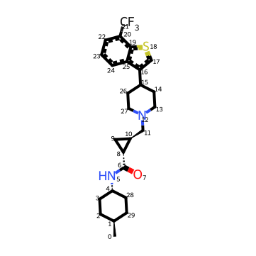 C[C@H]1CC[C@H](NC(=O)[C@@H]2C[C@H]2CN2CCC(c3csc4c(C(F)(F)F)cccc34)CC2)CC1